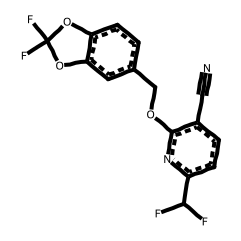 N#Cc1ccc(C(F)F)nc1OCc1ccc2c(c1)OC(F)(F)O2